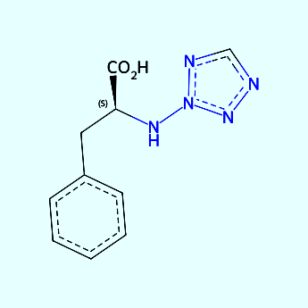 O=C(O)[C@H](Cc1ccccc1)Nn1ncnn1